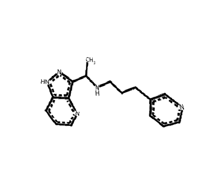 CC(NCCCc1cccnc1)c1n[nH]c2cccnc12